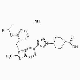 Cc1nc2ccc(-c3cnn(C4CCC(C(=O)O)CC4)c3)cn2c1Cc1ccccc1OC(F)F.N